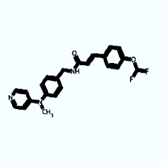 CN(c1ccncc1)c1ccc(CNC(=O)C=Cc2ccc(OC(F)F)cc2)cc1